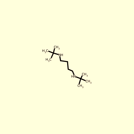 CC(C)(C)NCCCCNC(C)(C)C